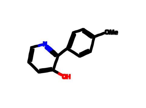 COc1ccc(-c2ncccc2O)cc1